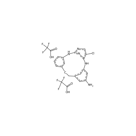 Nc1cc2cc(c1)Nc1nc(ncc1Cl)Nc1cccc(c1)CC2.O=C(O)C(F)(F)F.O=C(O)C(F)(F)F